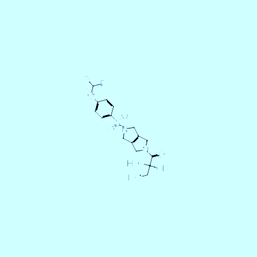 CC(C)(CO)C(=O)N1CC2=C(C1)CN(S(=O)(=O)c1ccc(OC(F)F)cc1)C2